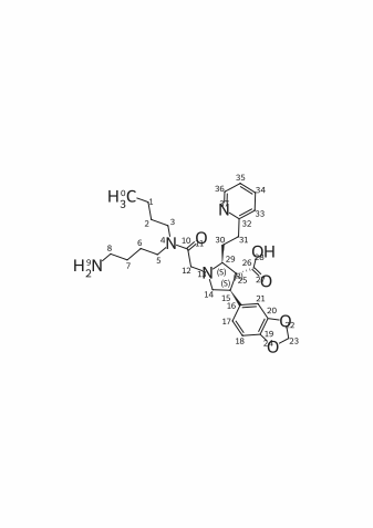 CCCCN(CCCCN)C(=O)CN1C[C@H](c2ccc3c(c2)OCO3)[C@@H](C(=O)O)[C@@H]1CCc1ccccn1